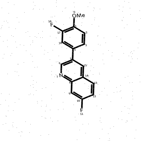 COc1ccc(-c2cnc3cc(F)ccc3c2)cc1F